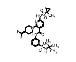 CC(C)(C)NS(=O)(=O)c1cccc(NC(=O)c2ccc(NS(=O)(=O)C3(C)CC3)nc2N2CCC(=C(F)F)CC2)c1